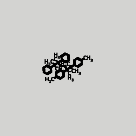 Cc1ccc(C(C)(C)C(C)(CCC(C)(c2ccccc2)C(C)(C)c2ccccc2)c2ccc(C)cc2)cc1